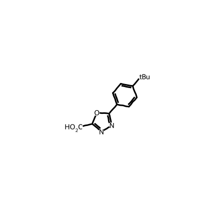 CC(C)(C)c1ccc(-c2nnc(C(=O)O)o2)cc1